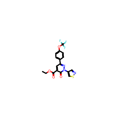 CCOC(=O)c1cc(-c2ccc(OC(F)(F)F)cc2)nn(-c2cnsc2)c1=O